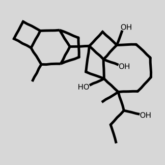 CCC(O)C1(C)CCCCC2(O)CC3(C4C5CCC4C4CCC4C5C)CC1(O)C23O